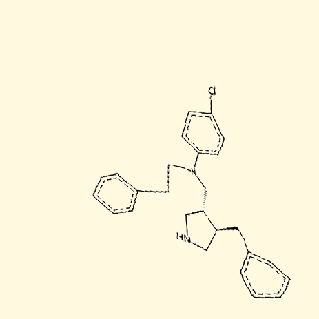 Clc1ccc(N(CCc2ccccc2)C[C@H]2CNC[C@@H]2Cc2ccccc2)cc1